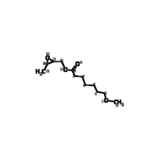 COCCCCCCC(=O)OCC1OC1C